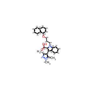 Cc1nn(C)c(C)c1-c1c(C(=O)O)n(CCCOc2cccc3ccccc23)c2ccccc12